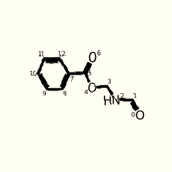 O=CNCOC(=O)c1ccccc1